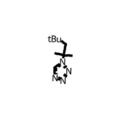 CC(C)(C)CC(C)(C)n1cnnn1